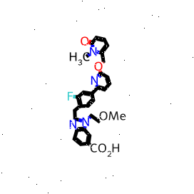 COCCn1c(Cc2ccc(-c3cccc(OCc4cccc(=O)n4C)n3)cc2F)nc2ccc(C(=O)O)cc21